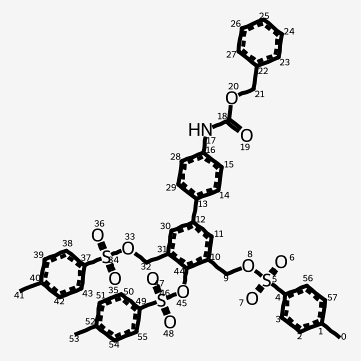 Cc1ccc(S(=O)(=O)OCc2cc(-c3ccc(NC(=O)OCc4ccccc4)cc3)cc(COS(=O)(=O)c3ccc(C)cc3)c2OS(=O)(=O)c2ccc(C)cc2)cc1